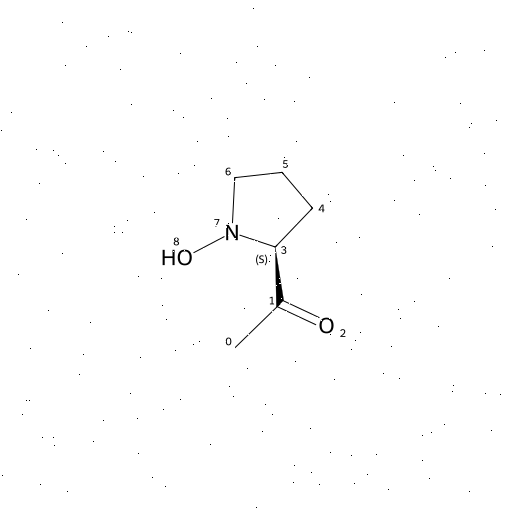 CC(=O)[C@@H]1CCCN1O